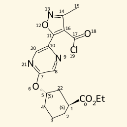 CCOC(=O)[C@H]1CCC[C@H](Oc2cnc(-c3onc(C)c3C(=O)Cl)cn2)C1